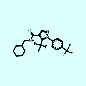 O=C(NCC1CCCCC1)c1cnn(-c2ccc(C(F)(F)F)cc2)c1C(F)(F)F